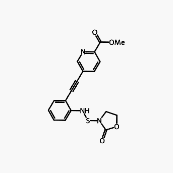 COC(=O)c1ccc(C#Cc2ccccc2NSN2CCOC2=O)cn1